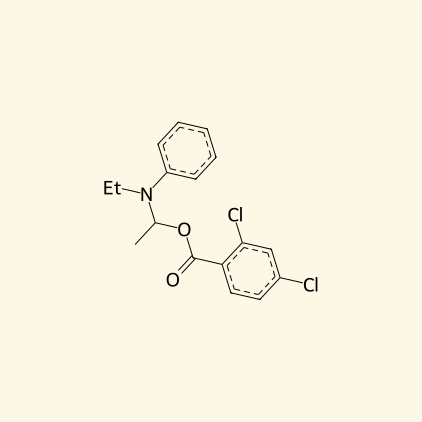 CCN(c1ccccc1)C(C)OC(=O)c1ccc(Cl)cc1Cl